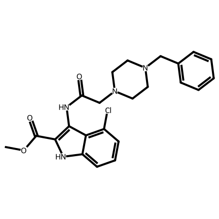 COC(=O)c1[nH]c2cccc(Cl)c2c1NC(=O)CN1CCN(Cc2ccccc2)CC1